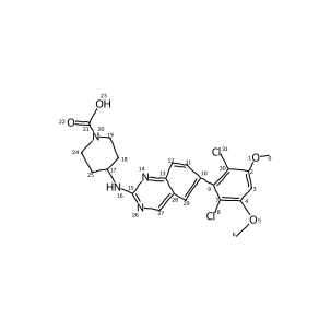 COc1cc(OC)c(Cl)c(-c2ccc3nc(NC4CCN(C(=O)O)CC4)ncc3c2)c1Cl